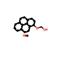 C=O.OCOc1ccc2ccc3cccc4ccc1c2c34